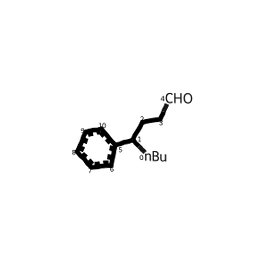 CCCCC(CCC=O)c1ccccc1